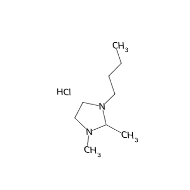 CCCCN1CCN(C)C1C.Cl